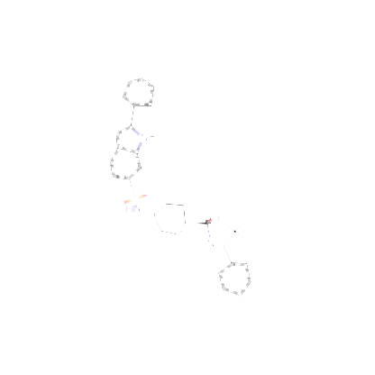 Cn1c(-c2ccccc2)cc2ccc(S(=O)(=O)N[C@H]3CC[C@H](C(=O)N[C@@H](c4ccccc4)C(C)(C)O)CC3)cc21